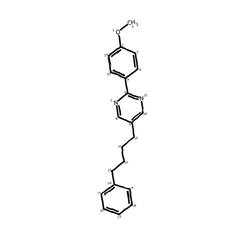 COc1ccc(-c2ncc(CCCCc3ccccc3)cn2)cc1